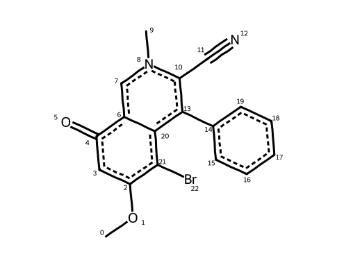 COc1cc(=O)c2cn(C)c(C#N)c(-c3ccccc3)c-2c1Br